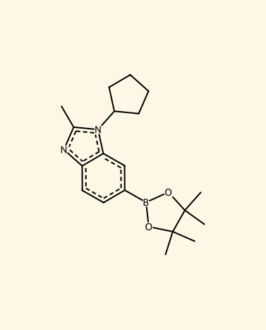 Cc1nc2ccc(B3OC(C)(C)C(C)(C)O3)cc2n1C1CCCC1